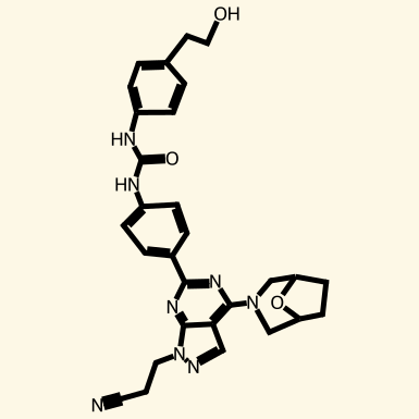 N#CCCn1ncc2c(N3CC4CCC(C3)O4)nc(-c3ccc(NC(=O)Nc4ccc(CCO)cc4)cc3)nc21